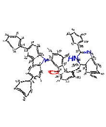 C1=CCC(c2ccc3c(c2)c2cc(-c4ccccc4)ccc2n3-c2cccc3c2oc2cccc(C4NC(c5ccccc5)=Nc5ccccc54)c23)=C1